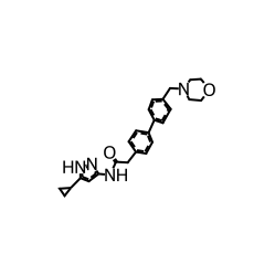 O=C(Cc1ccc(-c2ccc(CN3CCOCC3)cc2)cc1)Nc1cc(C2CC2)[nH]n1